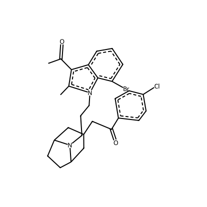 CC(=O)c1c(C)n(CCCN2C3CCC2CC(CC(=O)c2ccc(Cl)cc2)C3)c2c(Br)cccc12